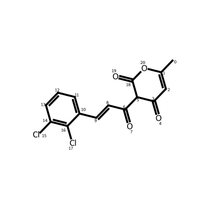 CC1=CC(=O)C(C(=O)C=Cc2cccc(Cl)c2Cl)C(=O)O1